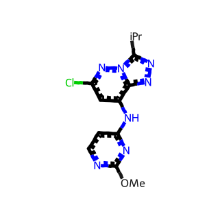 COc1nccc(Nc2cc(Cl)nn3c(C(C)C)nnc23)n1